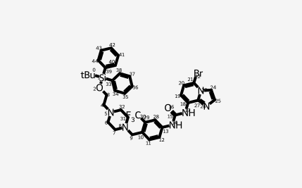 CC(C)(C)[Si](OCCN1CCN(Cc2ccc(NC(=O)Nc3ccc(Br)n4ccnc34)cc2C(F)(F)F)CC1)(c1ccccc1)c1ccccc1